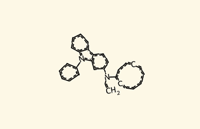 C=CN(c1ccccccccc1)c1ccc2c3ccccc3n(-c3ccccc3)c2c1